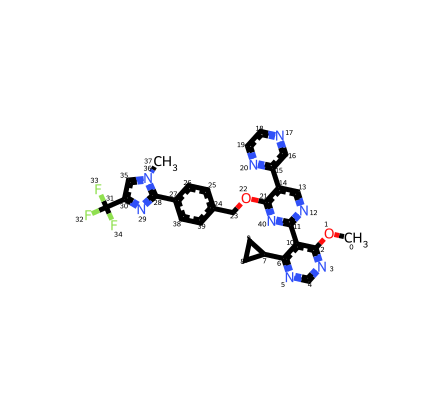 COc1ncnc(C2CC2)c1-c1ncc(-c2cnccn2)c(OCc2ccc(-c3nc(C(F)(F)F)cn3C)cc2)n1